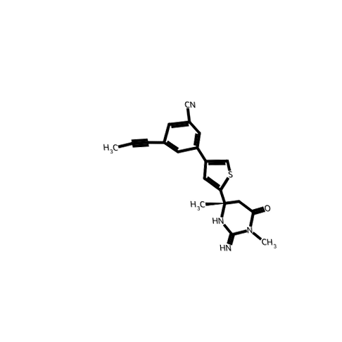 CC#Cc1cc(C#N)cc(-c2csc([C@]3(C)CC(=O)N(C)C(=N)N3)c2)c1